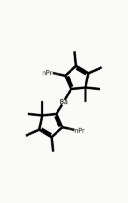 CCCC1=[C]([Ba][C]2=C(CCC)C(C)=C(C)C2(C)C)C(C)(C)C(C)=C1C